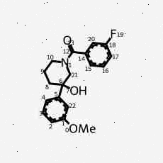 COc1cccc(C2(O)CCCN(C(=O)c3cccc(F)c3)C2)c1